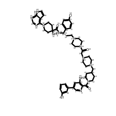 CCc1cccc(-c2cnc(C(=O)N3CCC(CN4CCN(CC(=O)N5CCN(CC[C@H](NC(=O)C6(N)CCN(c7ncnc8[nH]ccc78)CC6)c6ccc(Cl)cc6)CC5)CC4)CC3)c(NC(C)=O)c2)c1